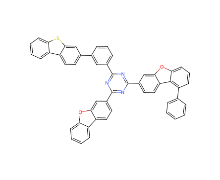 c1ccc(-c2cccc3oc4cc(-c5nc(-c6cccc(-c7ccc8c(c7)sc7ccccc78)c6)nc(-c6ccc7c(c6)oc6ccccc67)n5)ccc4c23)cc1